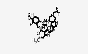 COCc1nn(Cc2cnc3c(c2)CCN(CC(F)F)C3)cc1C(=O)NCc1c(-n2cc(C)nn2)ccc(OC)c1F